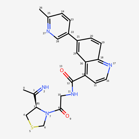 CC(=N)[C@@H]1CSCN1C(=O)CNC(=O)c1ccnc2ccc(-c3ccc(C)nc3)cc12